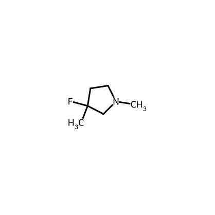 CN1CCC(C)(F)C1